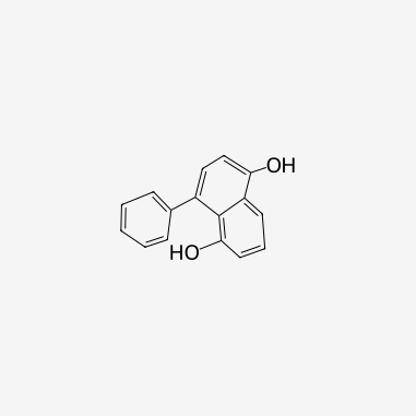 Oc1ccc(-c2ccccc2)c2c(O)cccc12